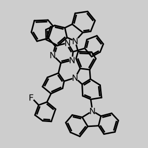 Fc1ccccc1-c1ccc(-c2nc(-c3ccccc3)nc(-c3ccccc3)n2)c(-n2c3cc(-n4c5ccccc5c5ccccc54)ccc3c3ccc(-n4c5ccccc5c5ccccc54)cc32)c1